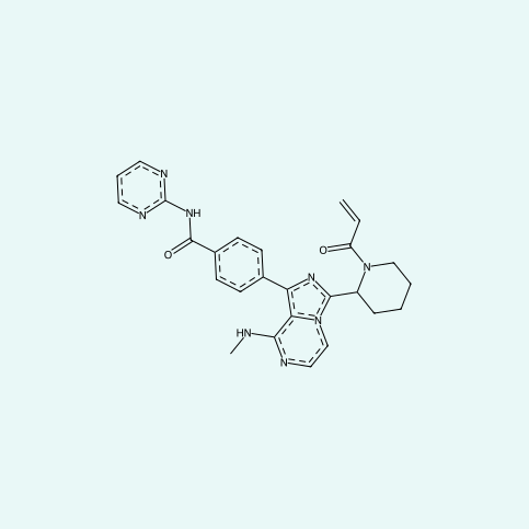 C=CC(=O)N1CCCCC1c1nc(-c2ccc(C(=O)Nc3ncccn3)cc2)c2c(NC)nccn12